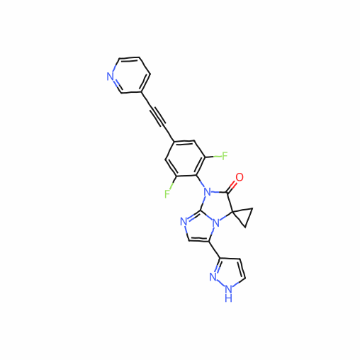 O=C1N(c2c(F)cc(C#Cc3cccnc3)cc2F)c2ncc(-c3cc[nH]n3)n2C12CC2